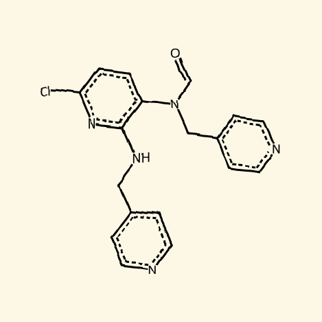 O=CN(Cc1ccncc1)c1ccc(Cl)nc1NCc1ccncc1